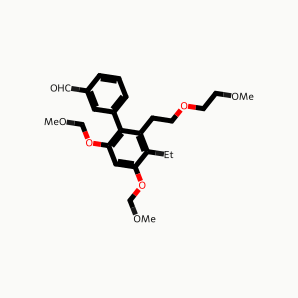 CCc1c(OCOC)cc(OCOC)c(-c2cccc(C=O)c2)c1CCOCCOC